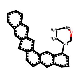 c1ccc2cc3cc4c(ccc5cc6cccc([SiH]7CO[SiH2][SiH2][SiH2]7)c6cc54)cc3cc2c1